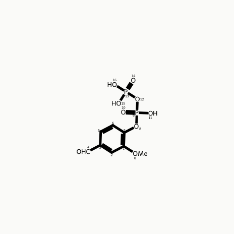 COc1cc(C=O)ccc1OP(=O)(O)OP(=O)(O)O